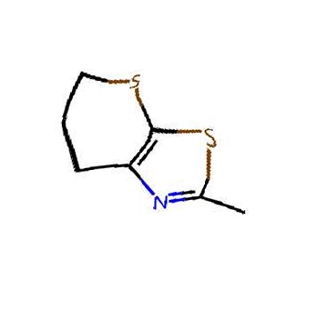 Cc1nc2c(s1)SCCC2